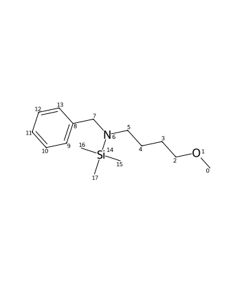 COCCCCN(Cc1ccccc1)[Si](C)(C)C